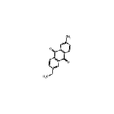 CCc1ccc2c(c1)C(=O)c1ccc(C)cc1C2=O